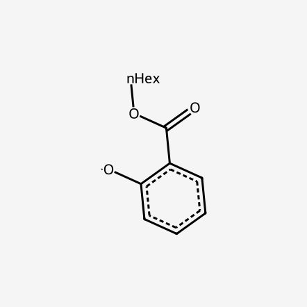 CCCCCCOC(=O)c1ccccc1[O]